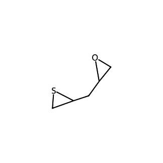 C1OC1CC1CS1